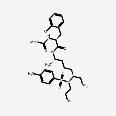 COC(=O)N[C@@H](Cc1ccccc1Cl)C(=O)N[C@@H](C)CCC[C@@H](CN)N(CCC(C)C)S(=O)(=O)c1ccc(N)cc1